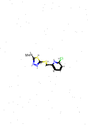 CNc1nnc(SCc2cccc(Cl)n2)s1